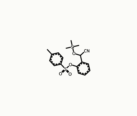 Cc1ccc(S(=O)(=O)Oc2ccccc2C(C#N)O[Si](C)(C)C)cc1